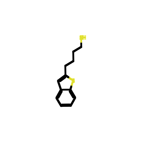 SCCCCc1cc2ccccc2s1